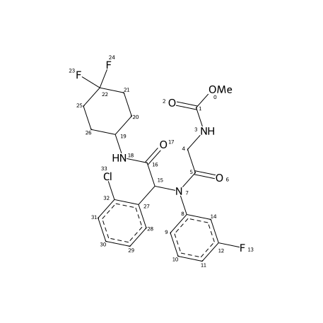 COC(=O)NCC(=O)N(c1cccc(F)c1)C(C(=O)NC1CCC(F)(F)CC1)c1ccccc1Cl